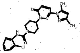 Cc1cc(C)n(-c2ccc(=O)n(C3CCN(C(=O)Nc4ccccc4Cl)CC3)n2)n1